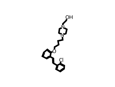 OCCN1CCN(CCCCOc2ccccc2C=Cc2ccccc2Cl)CC1